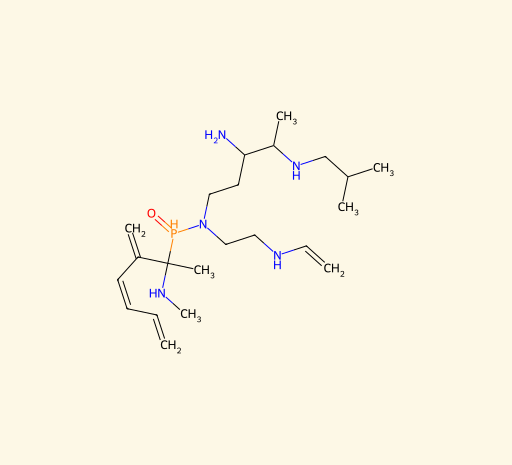 C=C/C=C\C(=C)C(C)(NC)[PH](=O)N(CCNC=C)CCC(N)C(C)NCC(C)C